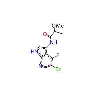 COC(C)C(=O)Nc1c[nH]c2ncc(Br)c(F)c12